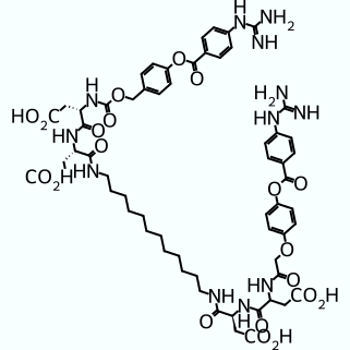 N=C(N)Nc1ccc(C(=O)Oc2ccc(COC(=O)N[C@@H](CC(=O)O)C(=O)N[C@@H](CC(=O)O)C(=O)NCCCCCCCCCCCCNC(=O)[C@H](CC(=O)O)NC(=O)C(CC(=O)O)NC(=O)COc3ccc(OC(=O)c4ccc(NC(=N)N)cc4)cc3)cc2)cc1